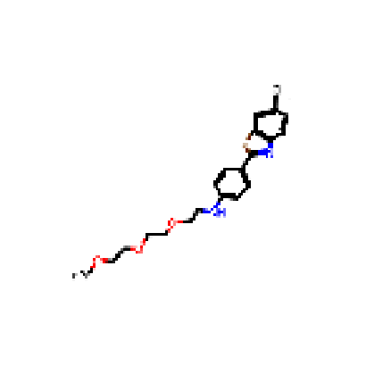 CCCOCCOCCOCCNc1ccc(-c2nc3ccc(C)cc3s2)cc1